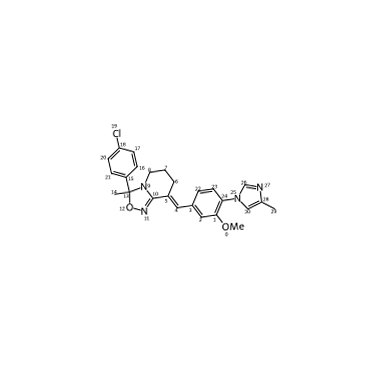 COc1cc(C=C2CCCN3C2=NOC3(C)c2ccc(Cl)cc2)ccc1-n1cnc(C)c1